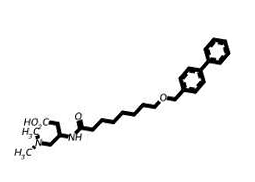 CN(C)CC(CC(=O)O)NC(=O)CCCCCCCOCc1ccc(-c2ccccc2)cc1